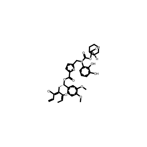 C=C/C(Cl)=C(C[C@H](OC(=O)c1ccc(CN(C(=O)O[C@H]2CN3CCC2CC3)c2cccc(O)c2O)s1)c1ccc(OC)c(OC)c1)\C(Cl)=C/C